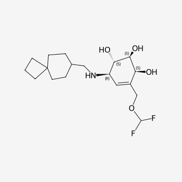 O[C@@H]1[C@@H](O)[C@@H](O)C(COC(F)F)=C[C@H]1NCC1CCC2(CCC2)CC1